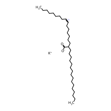 CCCCCCCC/C=C\CCCCCCC(CCCCCCCCCCCCCCCC)C(=O)[O-].[K+]